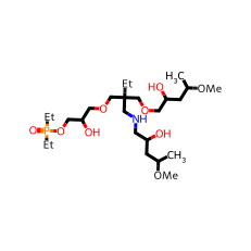 CCC(CNCC(O)CC(C)OC)(COCC(O)COP(=O)(CC)CC)COCC(O)CC(C)OC